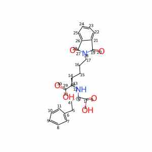 O=C(O)[C@H](CCc1ccccc1)N[C@H](CCCCN1C(=O)c2ccccc2C1=O)C(=O)O